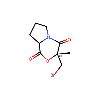 C[C@@]1(CBr)OC(=O)C2CCCN2C1=O